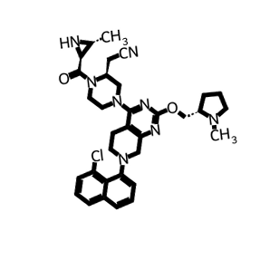 C[C@H]1N[C@@H]1C(=O)N1CCN(c2nc(OC[C@@H]3CCCN3C)nc3c2CCN(c2cccc4cccc(Cl)c24)C3)C[C@@H]1CC#N